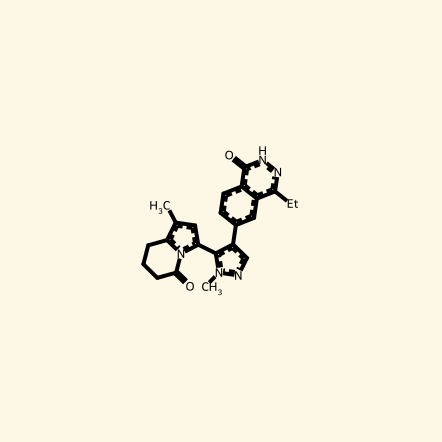 CCc1n[nH]c(=O)c2ccc(-c3cnn(C)c3-c3cc(C)c4n3C(=O)CCC4)cc12